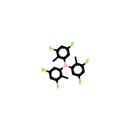 Cc1c(F)cc(F)cc1B(c1cc(F)cc(F)c1C)c1cc(F)cc(F)c1C